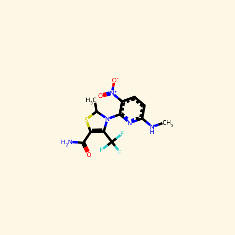 CNc1ccc([N+](=O)[O-])c(N2C(C(F)(F)F)=C(C(N)=O)SC2C)n1